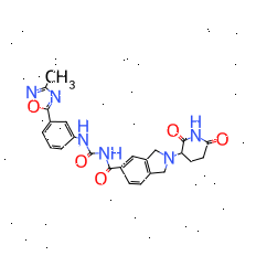 Cc1noc(-c2cccc(NC(=O)NC(=O)c3ccc4c(c3)CN(C3CCC(=O)NC3=O)C4)c2)n1